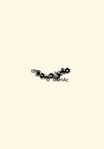 CC(=O)N[C@H](CC(=O)OC(C)C(=O)OC1CCCCC1)NC(=O)[C@@H]1CCCN(C(=O)CCC2CCN(C(=O)OC(C)(C)C)CC2)C1